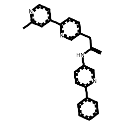 C=C(Cc1ccc(-c2ccnc(C)c2)nc1)Nc1ccc(-c2ccccc2)nc1